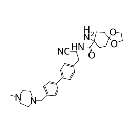 CN1CCN(Cc2ccc(-c3ccc(CC(C#N)NC(=O)C4(N)CCC5(CC4)OCCO5)cc3)cc2)CC1